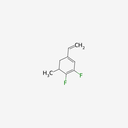 C=CC1=CC(F)=C(F)C(C)C1